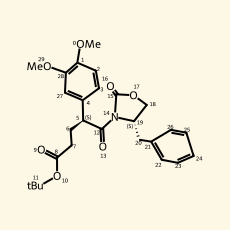 COc1ccc([C@H](CCC(=O)OC(C)(C)C)C(=O)N2C(=O)OC[C@@H]2Cc2ccccc2)cc1OC